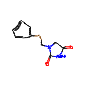 O=C1CN(CSc2ccccc2)C(=O)N1